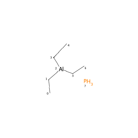 C[CH2][Al]([CH2]C)[CH2]C.P